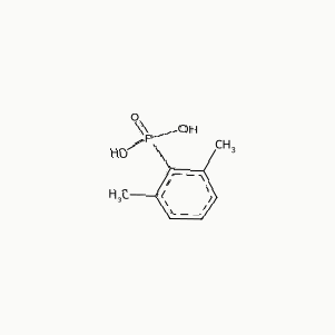 Cc1cccc(C)c1P(=O)(O)O